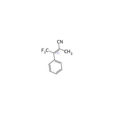 C/C(C#N)=C(\c1ccccc1)C(F)(F)F